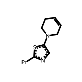 CC(C)c1ncc(N2CC=CCC2)s1